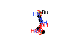 CCCCS(=O)(=O)Nc1ccc(N2CCC(NC[C@H](O)COc3ccc(O)c(NS(=O)(=O)c4ccccc4)c3)CC2)cc1